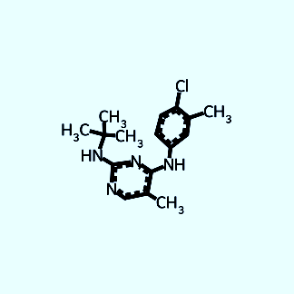 Cc1cc(Nc2nc(NC(C)(C)C)ncc2C)ccc1Cl